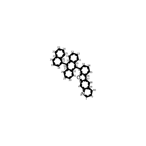 c1cnc2cc3oc4c(-c5c6ccccc6c(-c6cccc7ccccc67)c6ccccc56)cccc4c3cc2c1